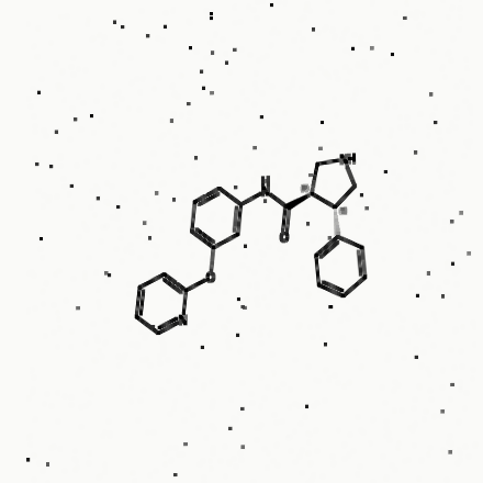 O=C(Nc1cccc(Oc2ccccn2)c1)[C@H]1CNC[C@@H]1c1ccccc1